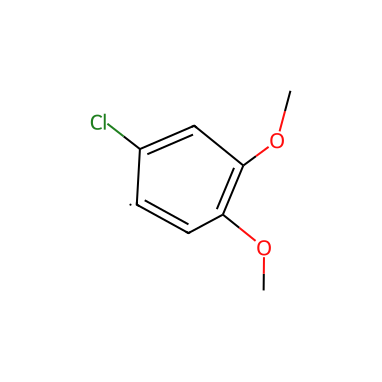 COc1c[c]c(Cl)cc1OC